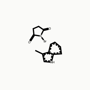 Cc1c[nH]c2ccccc12.O=C1CCC(=O)N1Br